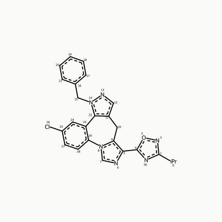 CC(C)c1noc(-c2ncn3c2Cc2cnn(Cc4ccccc4)c2-c2cc(Cl)ccc2-3)n1